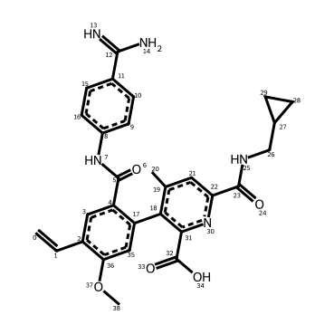 C=Cc1cc(C(=O)Nc2ccc(C(=N)N)cc2)c(-c2c(C)cc(C(=O)NCC3CC3)nc2C(=O)O)cc1OC